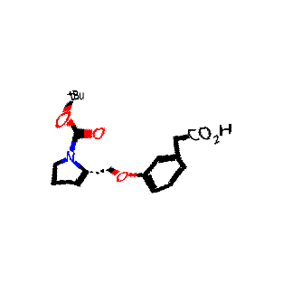 CC(C)(C)OC(=O)N1CCC[C@H]1COc1cccc(CC(=O)O)c1